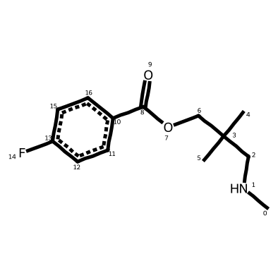 CNCC(C)(C)COC(=O)c1ccc(F)cc1